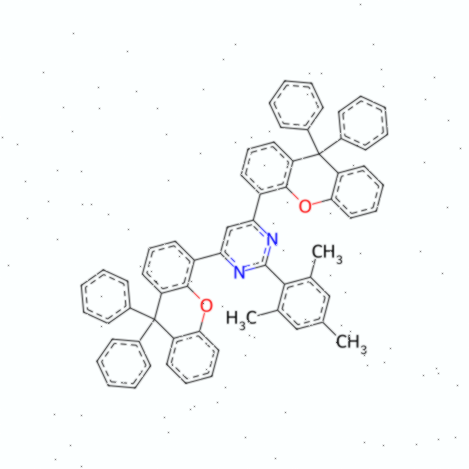 Cc1cc(C)c(-c2nc(-c3cccc4c3Oc3ccccc3C4(c3ccccc3)c3ccccc3)cc(-c3cccc4c3Oc3ccccc3C4(c3ccccc3)c3ccccc3)n2)c(C)c1